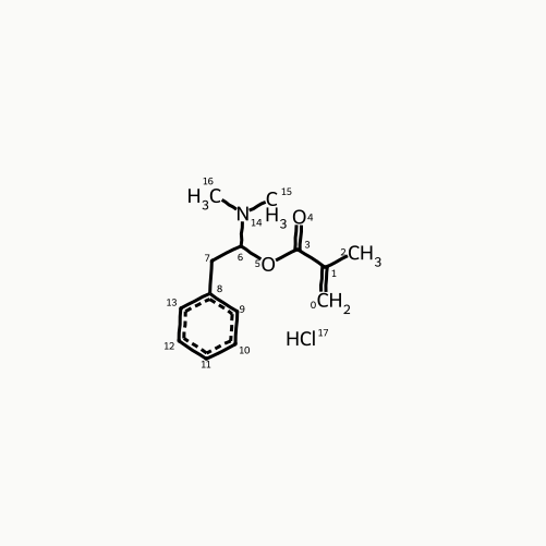 C=C(C)C(=O)OC(Cc1ccccc1)N(C)C.Cl